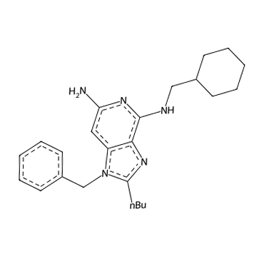 CCCCc1nc2c(NCC3CCCCC3)nc(N)cc2n1Cc1ccccc1